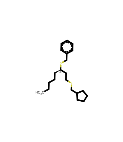 O=C(O)CCCC[C@H](CCSCC1CCCC1)SCc1ccccc1